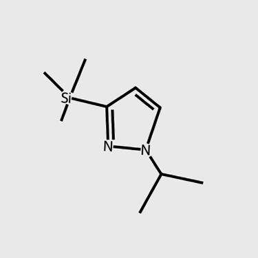 CC(C)n1ccc([Si](C)(C)C)n1